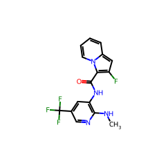 CNc1ncc(C(F)(F)F)cc1NC(=O)c1c(F)cc2ccccn12